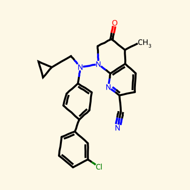 CC1C(=O)CN(N(CC2CC2)c2ccc(-c3cccc(Cl)c3)cc2)c2nc(C#N)ccc21